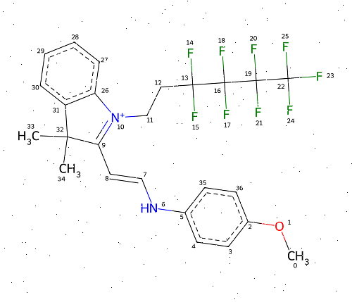 COc1ccc(N/C=C/C2=[N+](CCC(F)(F)C(F)(F)C(F)(F)C(F)(F)F)c3ccccc3C2(C)C)cc1